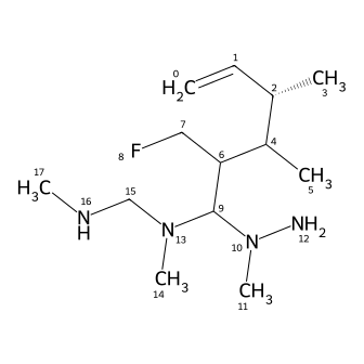 C=C[C@H](C)C(C)C(CF)C(N(C)N)N(C)CNC